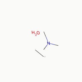 CN(C)C.O.[CH2]C